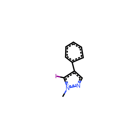 Cn1ncc(-c2ccccc2)c1I